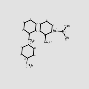 O=C(O)C1CCCCC1.O=C(O)C1CCCCC1.O=C(O)C1CCCCC1.OB(O)O